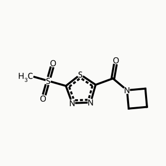 CS(=O)(=O)c1nnc(C(=O)N2CCC2)s1